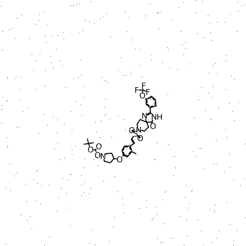 Cc1cc(OC2CCN(OC(=O)OC(C)(C)C)CC2)ccc1/C=C/S(=O)(=O)N1CCC2(CC1)N=C(c1cccc(OC(F)(F)F)c1)NC2=O